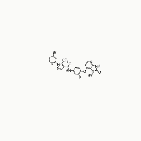 CC(C)n1c(=O)[nH]c2nccc(Oc3ccc(NC(=O)c4cnn(-c5cc(Br)ccn5)c4C(F)(F)F)cc3F)c21